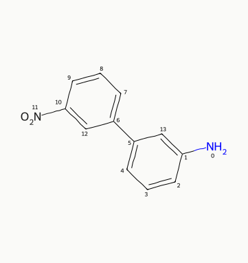 Nc1cccc(-c2cccc([N+](=O)[O-])c2)c1